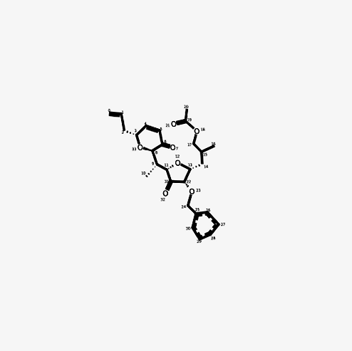 C=CC[C@@H]1C=CC(=O)[C@@H]([C@@H](C)[C@@H]2O[C@H](CC(C)COC(C)=O)[C@H](OCc3ccccc3)C2=O)O1